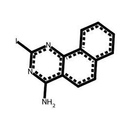 Nc1nc(I)nc2c1ccc1ccccc12